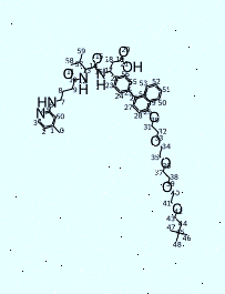 Cc1ccnc(NCCCC(=O)N[C@H](C(=O)N[C@@H](CC(=O)O)c2ccc(-c3ccc(OCCOCCOCCOCCOCCC(C)(C)C)c4ccccc34)cc2)C(C)C)c1